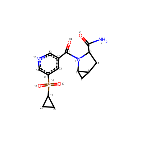 NC(=O)C1CC2CC2N1C(=O)c1cncc(S(=O)(=O)C2CC2)c1